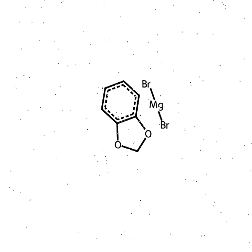 [Br][Mg][Br].[c]1ccc2c(c1)OCO2